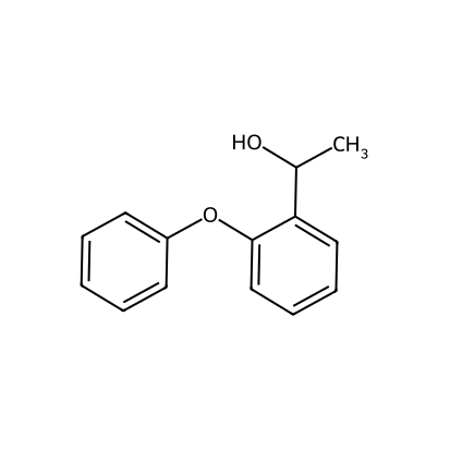 CC(O)c1ccccc1Oc1ccccc1